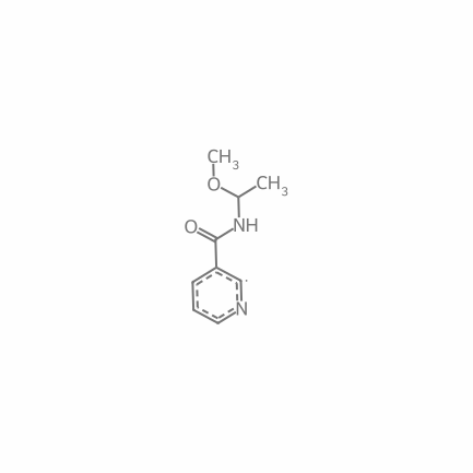 COC(C)NC(=O)c1[c]nccc1